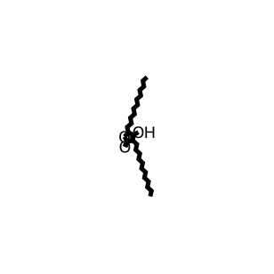 CCCCCCCCCCCCC1=C(O)C(CCCCCCCCCCCC)OC1=O